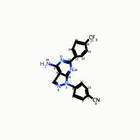 N#Cc1ccc(-n2ncc3c(N)nc(-c4ccc(C(F)(F)F)cc4)nc32)cc1